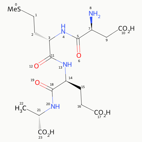 CSCC[C@H](NC(=O)[C@@H](N)CC(=O)O)C(=O)N[C@@H](CCC(=O)O)C(=O)N[C@@H](C)C(=O)O